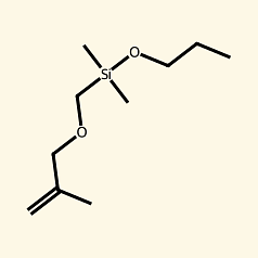 C=C(C)COC[Si](C)(C)OCCC